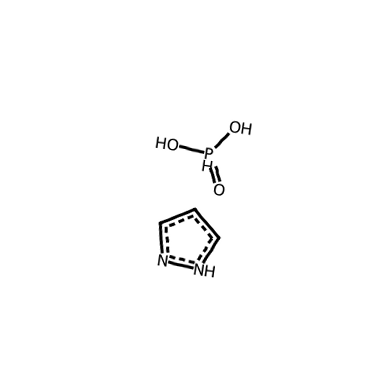 O=[PH](O)O.c1cn[nH]c1